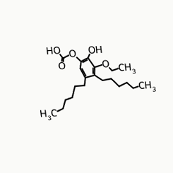 CCCCCCc1cc(OC(=O)O)c(O)c(OCC)c1CCCCCC